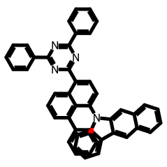 c1ccc(-c2nc(-c3ccccc3)nc(-c3ccc(-n4c5ccccc5c5cc6ccccc6cc54)c4c(-c5ccccc5)cccc34)n2)cc1